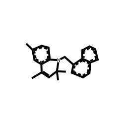 CC1=CC(C)(C)N(Cc2cccc3ccccc23)c2ccc(C)cc21